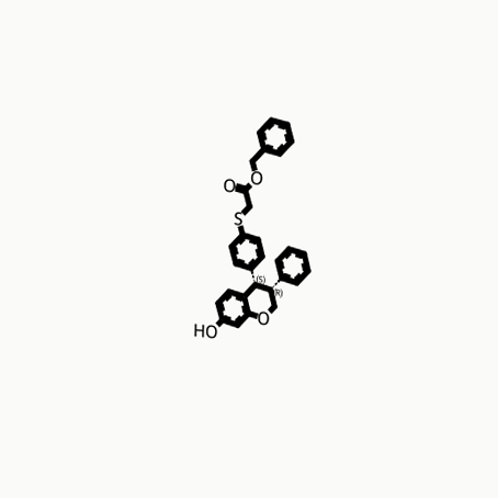 O=C(CSc1ccc([C@H]2c3ccc(O)cc3OC[C@H]2c2ccccc2)cc1)OCc1ccccc1